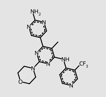 Cc1c(Nc2ccncc2C(F)(F)F)nc(N2CCOCC2)nc1-c1cnc(N)nc1